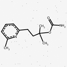 Cc1cccc(CCC(C)(C)OC(N)=O)n1